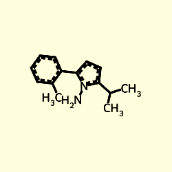 Cc1ccccc1-c1ccc(C(C)C)n1N